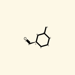 CC1CCC[C@@H](C=O)C1